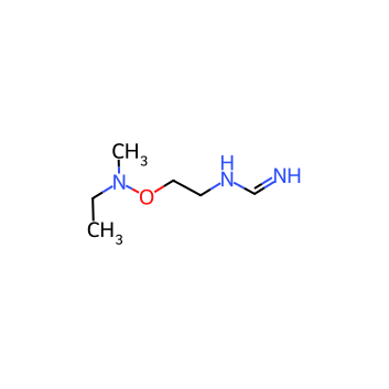 CCN(C)OCCNC=N